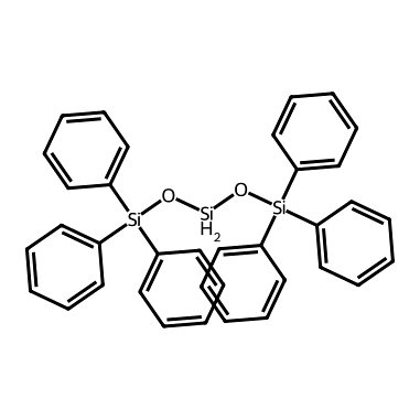 c1ccc([Si](O[SiH2]O[Si](c2ccccc2)(c2ccccc2)c2ccccc2)(c2ccccc2)c2ccccc2)cc1